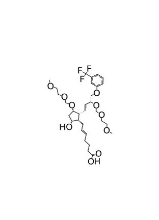 COCCOCO[C@H](C=C[C@@H]1[C@@H](CC=CCCCC(=O)O)[C@@H](O)C[C@H]1OCOCCOC)COc1cccc(C(F)(F)F)c1